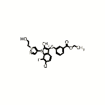 CCOC(=O)c1cccc(Sc2c(C)n(-c3cnn(CCO)c3)c3c(F)c(Cl)ccc23)c1